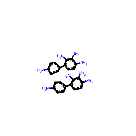 Nc1ccc(-c2ccc(N)c(N)c2N)cc1.Nc1ccc(-c2ccc(N)c(N)c2N)cc1